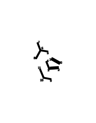 C=C.C=CC.CC(C)C.CCC